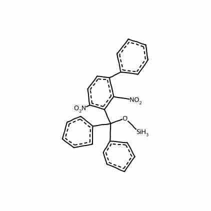 O=[N+]([O-])c1ccc(-c2ccccc2)c([N+](=O)[O-])c1C(O[SiH3])(c1ccccc1)c1ccccc1